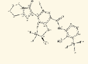 Cc1c(NC(=O)c2cc(F)c(-n3nc4n(c3=O)CCCC4)cc2O[C@@H](C)C(F)(F)F)cccc1C(F)(F)F